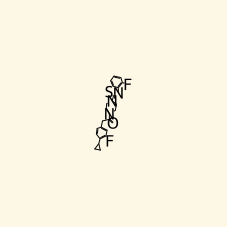 O=C(Cc1ccc(C2CC2)c(F)c1)N1CCN(c2nc3c(F)cccc3s2)CC1